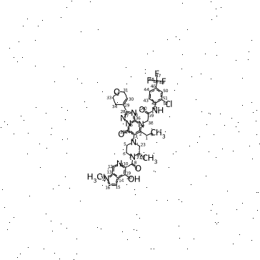 CCc1c(N2CCN(C(=O)c3ncc4c(ccn4C)c3O)[C@H](C)C2)c(=O)n2nc(C3=CCOCC3)nc2n1CC(=O)Nc1ccc(C(F)(F)F)cc1Cl